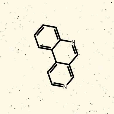 [c]1nc2ccccc2c2ccncc12